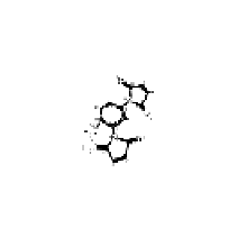 C=C1C=CC(=O)N1c1cc(N2C(=O)C=CC2=O)ccc1C